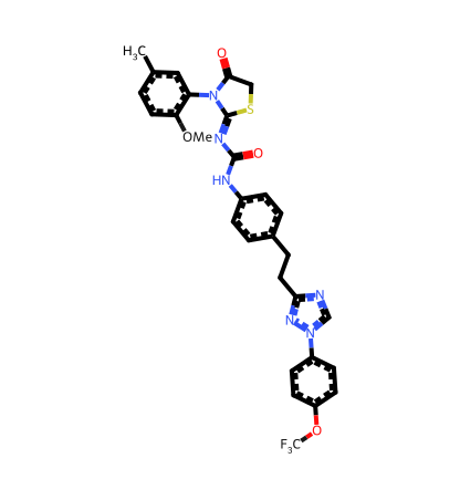 COc1ccc(C)cc1N1C(=O)CSC1=NC(=O)Nc1ccc(CCc2ncn(-c3ccc(OC(F)(F)F)cc3)n2)cc1